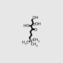 C[N+](C)(C)CCCC(=O)C(O)[C@@H](O)CO